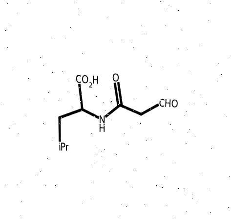 CC(C)CC(NC(=O)CC=O)C(=O)O